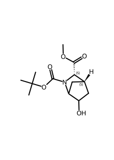 COC(=O)[C@@H]1[C@@H]2CC(O)C(C2)N1C(=O)OC(C)(C)C